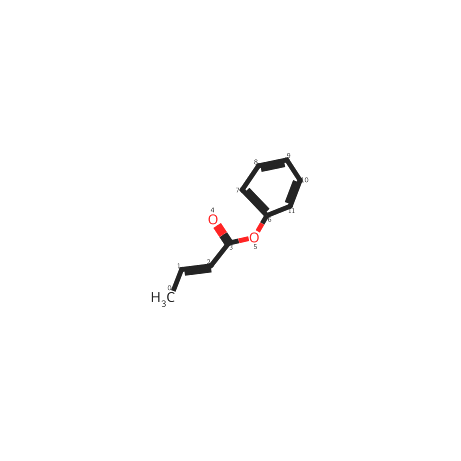 CC=CC(=O)Oc1ccccc1